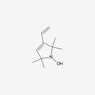 C=CC1=CC(C)(C)N(O)C1(C)C